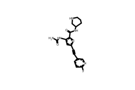 NC(=O)Nc1cc(C#Cc2ccc(F)nc2)sc1C(=O)NC1CCCNC1